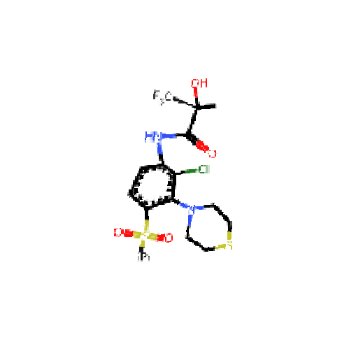 CC(C)S(=O)(=O)c1ccc(NC(=O)[C@@](C)(O)C(F)(F)F)c(Cl)c1N1CCSCC1